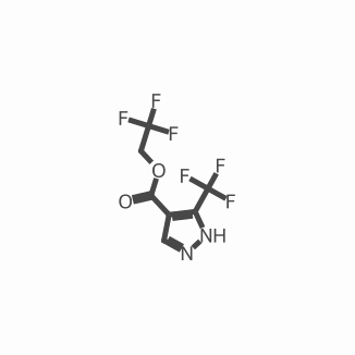 O=C(OCC(F)(F)F)c1cn[nH]c1C(F)(F)F